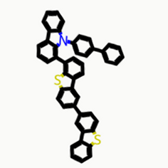 c1ccc(-c2ccc(-n3c4ccccc4c4cccc(-c5cccc6c5sc5ccc(-c7ccc8sc9ccccc9c8c7)cc56)c43)cc2)cc1